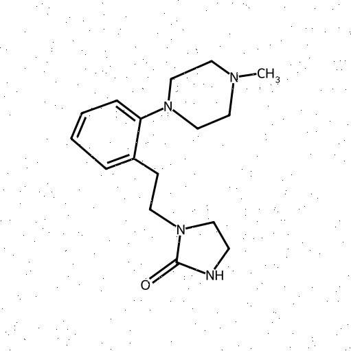 CN1CCN(c2ccccc2CCN2CCNC2=O)CC1